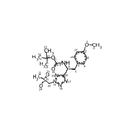 COc1ccc(C[C@H](NC(=O)OC(C)(C)C)c2nnn(CS(C)(=O)=O)n2)cc1